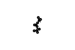 c1ccc(-n2c3ccccc3c3c4ccccc4c(-c4ccc5c(c4)c4ccccc4n5-c4ccc(-c5cc6c7c(cccc7n5)-c5ccccc5-6)cc4)cc32)cc1